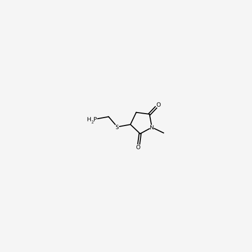 CN1C(=O)CC(SCP)C1=O